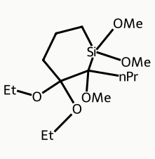 CCCC1(OC)C(OCC)(OCC)CCC[Si]1(OC)OC